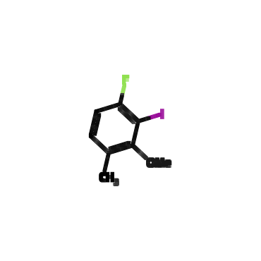 COc1c(C)ccc(F)c1I